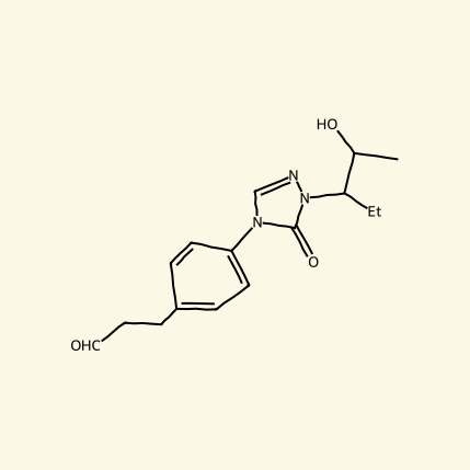 CCC(C(C)O)n1ncn(-c2ccc(CCC=O)cc2)c1=O